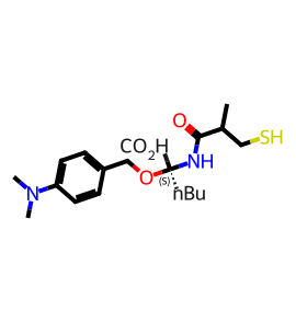 CCCC[C@](NC(=O)C(C)CS)(OCc1ccc(N(C)C)cc1)C(=O)O